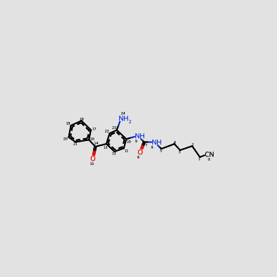 N#CCCCCCNC(=O)Nc1ccc(C(=O)c2ccccc2)cc1N